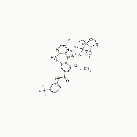 CCOc1cc(C(=O)Nc2cc(C(F)(F)F)ccn2)cc(F)c1-c1nc([C@@H]2CC[C@](C)(C(=O)O)C2(C)C)n2c(F)cnc(N)c12